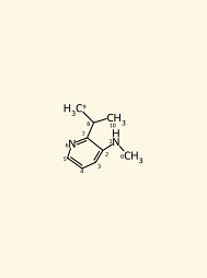 CNc1cccnc1C(C)C